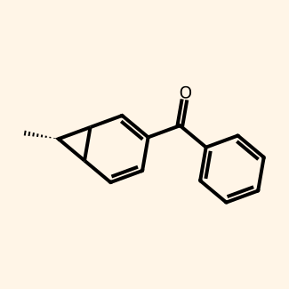 C[C@H]1C2C=CC(C(=O)c3ccccc3)=CC21